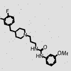 COc1cccc(NC(=O)NCCCN2CCC(Cc3ccc(F)c(F)c3)CC2)c1